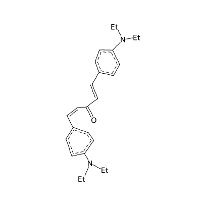 CCN(CC)c1ccc(/C=C\C(=O)/C=C/c2ccc(N(CC)CC)cc2)cc1